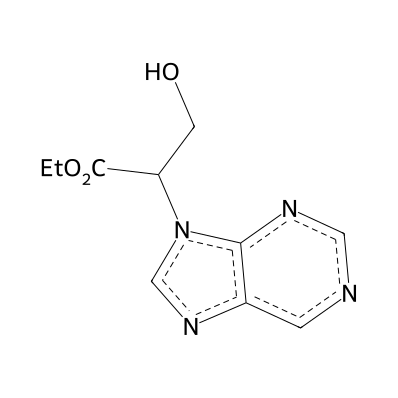 CCOC(=O)C(CO)n1cnc2cncnc21